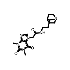 Cn1c(=O)c2c(ncn2CC(=O)NCCC2CN3CCC2CC3)n(C)c1=O